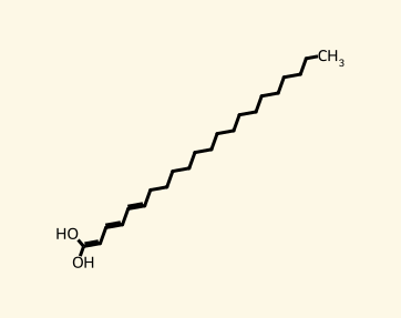 CCCCCCCCCCCCCCCC/C=C/C=C/C=C(O)O